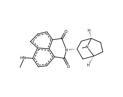 CNc1ccc2c3c(cccc13)C(=O)N([C@@H]1C[C@H]3CC[C@@H](C1)N3C)C2=O